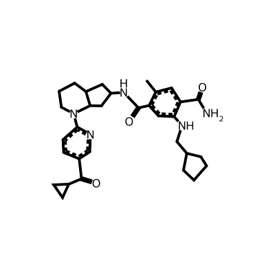 Cc1cc(C(N)=O)c(NCC2CCCC2)cc1C(=O)NC1CC2CCCN(c3ccc(C(=O)C4CC4)cn3)C2C1